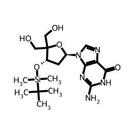 CC(C)(C)[Si](C)(C)O[C@H]1C[C@H](n2cnc3c(=O)[nH]c(N)nc32)OC1(CO)CO